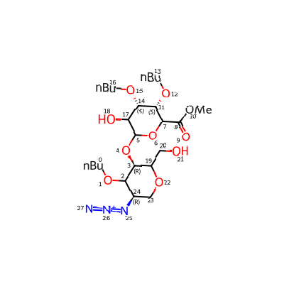 CCCCOC1[C@@H](OC2OC(C(=O)OC)[C@@H](OCCCC)[C@@H](OCCCC)C2O)C(CO)OC[C@H]1N=[N+]=[N-]